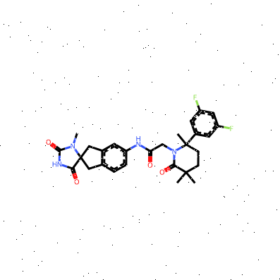 CN1C(=O)NC(=O)C12Cc1ccc(NC(=O)CN3C(=O)C(C)(C)CCC3(C)c3cc(F)cc(F)c3)cc1C2